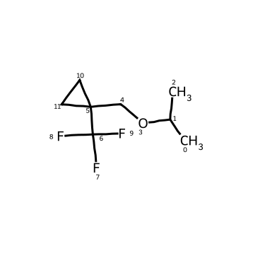 CC(C)OCC1(C(F)(F)F)CC1